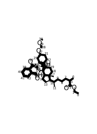 CCOC(=O)C(C)CCC[C@@H](C)[C@H]1CC[C@@H]2[C@]1(C)CC[C@H]1[C@@]23C=CC2(CC(OCOC)CC[C@]12C)n1c(=O)c2ccccc2c(=O)n13